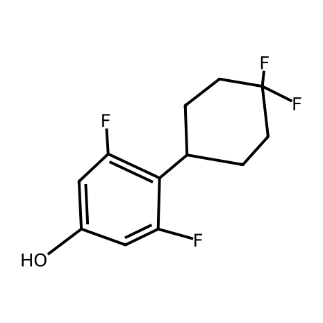 Oc1cc(F)c(C2CCC(F)(F)CC2)c(F)c1